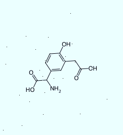 NC(C(=O)O)c1ccc(O)c(CC(=O)O)c1